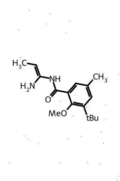 CC=C(N)NC(=O)c1cc(C)cc(C(C)(C)C)c1OC